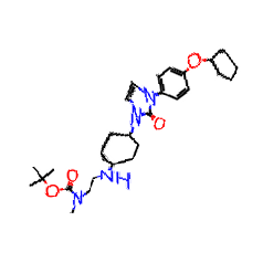 CN(CCNC1CCC(n2ccn(-c3ccc(OC4CCCC4)cc3)c2=O)CC1)C(=O)OC(C)(C)C